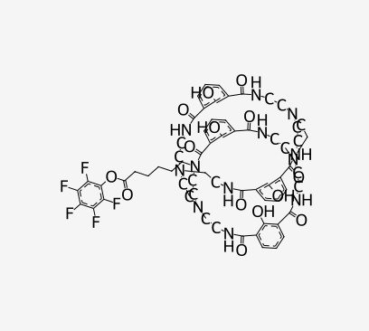 O=C(CCCCCN1CCN2CCNC(=O)c3cccc(c3O)C(=O)NCCN(CCNC(=O)c3cccc(c3O)C1=O)CCN1CCNC(=O)c3cccc(c3O)C(=O)NCCN(CCNC(=O)c3cccc(c3O)C(=O)NCC1)CC2)Oc1c(F)c(F)c(F)c(F)c1F